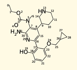 CCOC(=O)N(C)c1c(C2CCCNC2)cc(-c2c(O)cccc2OCC2CC2)nc1N